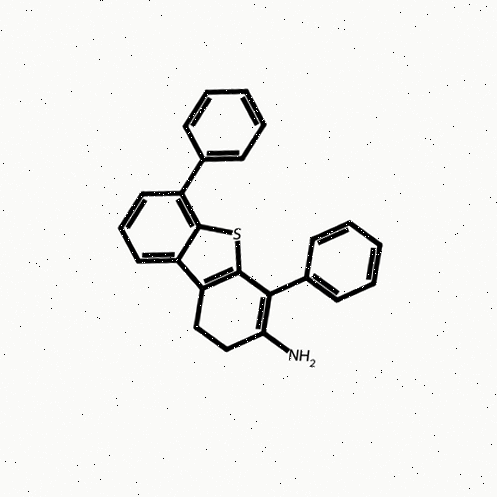 NC1=C(c2ccccc2)c2sc3c(-c4ccccc4)cccc3c2CC1